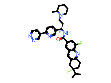 CC1CCCCN1CC[C@@H](NC(=O)c1cc(F)c2nc3c(cc2c1)C[C@](F)(C(C)C)CC3)c1ccc(-c2ccnnc2)nc1